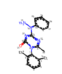 CCc1cccc(CC)c1-n1c(C)nc(N(N)c2ccccc2)nc1=O